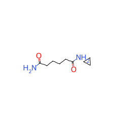 C1CC1.NC(=O)CCCCC(N)=O